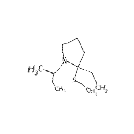 CCC1(SC)CCCN1C(C)C